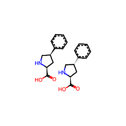 O=C(O)[C@@H]1C[C@@H](c2ccccc2)CN1.O=C(O)[C@@H]1C[C@H](c2ccccc2)CN1